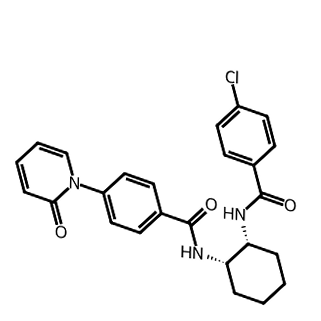 O=C(N[C@H]1CCCC[C@H]1NC(=O)c1ccc(Cl)cc1)c1ccc(-n2ccccc2=O)cc1